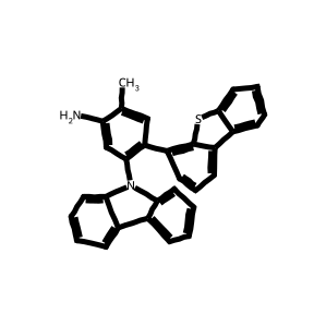 Cc1cc(-c2cccc3c2sc2ccccc23)c(-n2c3ccccc3c3ccccc32)cc1N